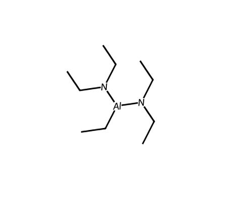 CC[N](CC)[Al]([CH2]C)[N](CC)CC